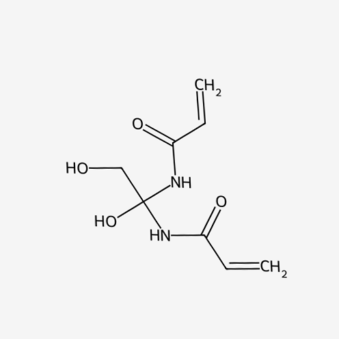 C=CC(=O)NC(O)(CO)NC(=O)C=C